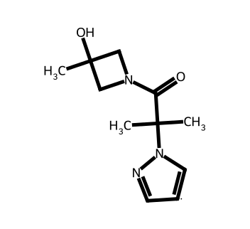 CC1(O)CN(C(=O)C(C)(C)n2c[c]cn2)C1